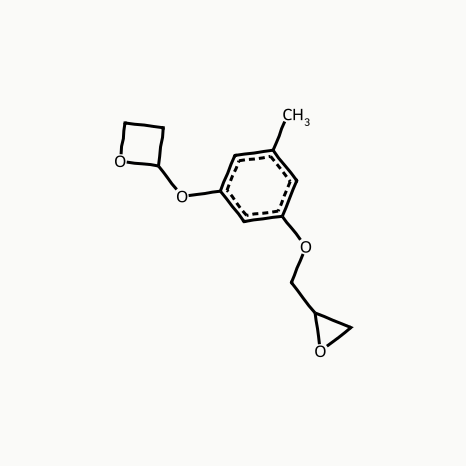 Cc1cc(OCC2CO2)cc(OC2CCO2)c1